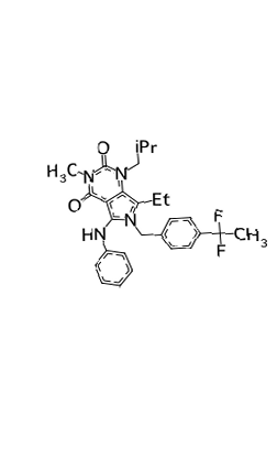 CCc1c2c(c(Nc3ccccc3)n1Cc1ccc(C(C)(F)F)cc1)c(=O)n(C)c(=O)n2CC(C)C